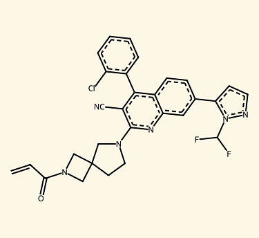 C=CC(=O)N1CC2(CCN(c3nc4cc(-c5ccnn5C(F)F)ccc4c(-c4ccccc4Cl)c3C#N)C2)C1